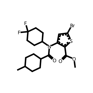 COC(=O)c1sc(Br)cc1N(C(=O)C1CCC(C)CC1)C1CCC(F)(F)CC1